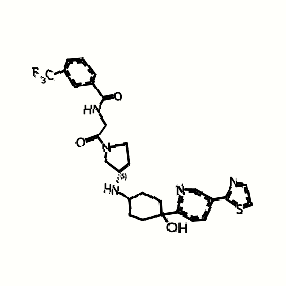 O=C(NCC(=O)N1CC[C@H](NC2CCC(O)(c3ccc(-c4nccs4)cn3)CC2)C1)c1cccc(C(F)(F)F)c1